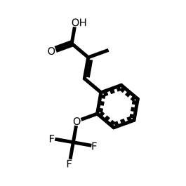 C/C(=C\c1ccccc1OC(F)(F)F)C(=O)O